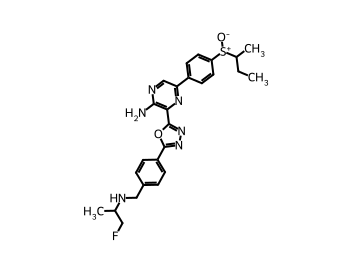 CCC(C)[S+]([O-])c1ccc(-c2cnc(N)c(-c3nnc(-c4ccc(CNC(C)CF)cc4)o3)n2)cc1